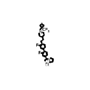 C=C(c1ccc(-c2ccc(CCC3CCN(CC4(C(F)(F)F)CCC4)CC3)c(F)c2)c(F)c1)N1CCCC1CC